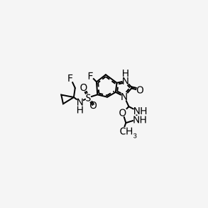 CC1NNC(n2c(=O)[nH]c3cc(F)c(S(=O)(=O)NC4(CF)CC4)cc32)O1